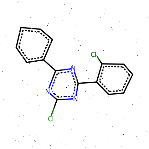 Clc1nc(-c2ccccc2)nc(-c2ccccc2Cl)n1